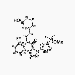 COC(C)(C)c1nc(-c2ncn3c2c(=O)n(CCN2CCCC(O)C2)c2c(F)cccc23)no1